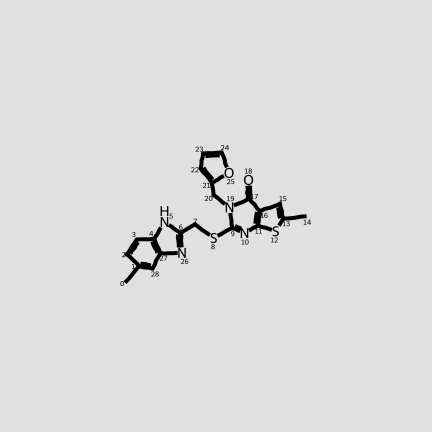 Cc1ccc2[nH]c(CSc3nc4sc(C)cc4c(=O)n3Cc3ccco3)nc2c1